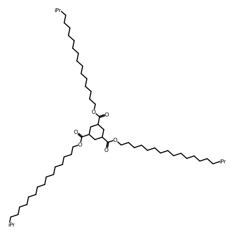 CC(C)CCCCCCCCCCCCCCCOC(=O)C1CC(C(=O)OCCCCCCCCCCCCCCCC(C)C)CC(C(=O)OCCCCCCCCCCCCCCCC(C)C)C1